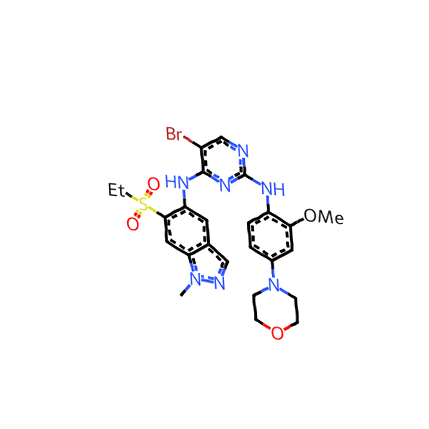 CCS(=O)(=O)c1cc2c(cnn2C)cc1Nc1nc(Nc2ccc(N3CCOCC3)cc2OC)ncc1Br